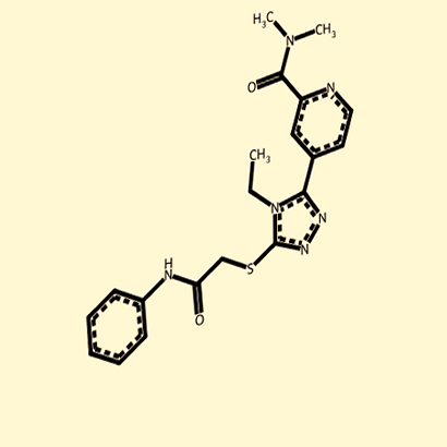 CCn1c(SCC(=O)Nc2ccccc2)nnc1-c1ccnc(C(=O)N(C)C)c1